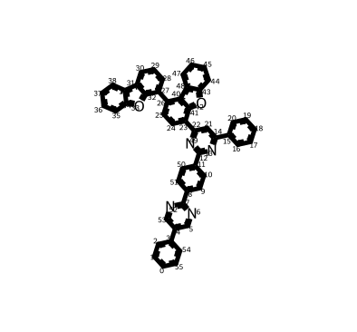 c1ccc(-c2cnc(-c3ccc(-c4nc(-c5ccccc5)cc(-c5ccc(-c6cccc7c6oc6ccccc67)c6c5oc5ccccc56)n4)cc3)nc2)cc1